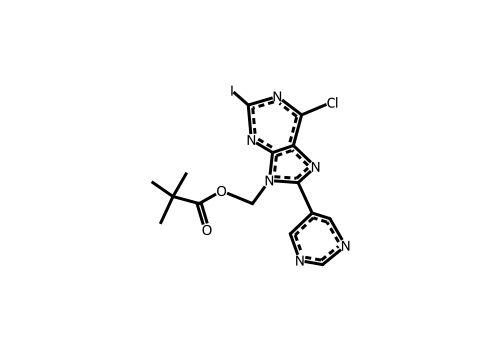 CC(C)(C)C(=O)OCn1c(-c2cncnc2)nc2c(Cl)nc(I)nc21